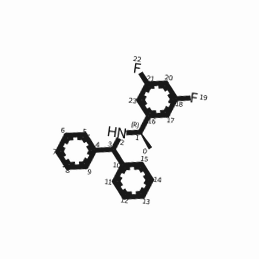 C[C@@H](NC(c1[c]cc[c]c1)c1ccccc1)c1cc(F)cc(F)c1